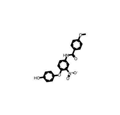 COc1ccc(C(=O)Nc2ccc(Oc3ccc(O)cc3)c([N+](=O)[O-])c2)cc1